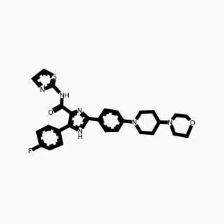 O=C(Nc1nccs1)c1nc(-c2ccc(N3CCC(N4CCOCC4)CC3)cc2)[nH]c1-c1ccc(F)cc1